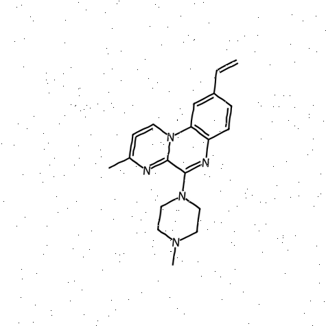 C=Cc1ccc2c(c1)N1C=C=C(C)N=C1C(N1CCN(C)CC1)=N2